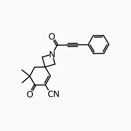 CC1(C)CC2(C=C(C#N)C1=O)CN(C(=O)C#Cc1ccccc1)C2